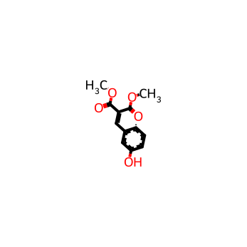 COC(=O)C(=Cc1[c]ccc(O)c1)C(=O)OC